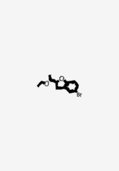 CCOC(C)C1Cc2cc(Br)ccc2O1